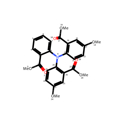 COC(=O)c1ccccc1N(c1ccc(OC)cc1C(=O)OC)c1ccc(OC)cc1C(=O)OC